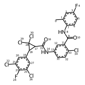 Cc1cc(F)ccc1NC(=O)c1cc(NC(=O)C2C(c3cc(Cl)c(F)c(Cl)c3)C2(Cl)Cl)ccc1Cl